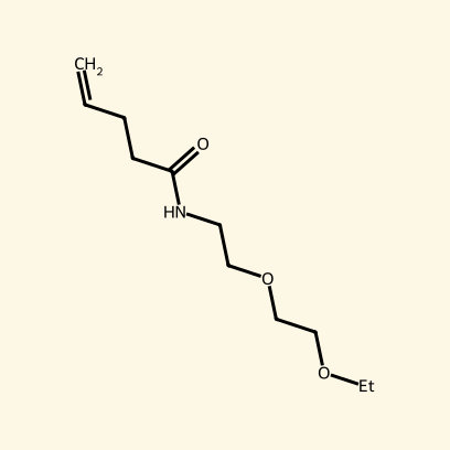 C=CCCC(=O)NCCOCCOCC